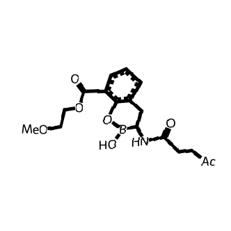 COCCOC(=O)c1cccc2c1OB(O)C(NC(=O)CCC(C)=O)C2